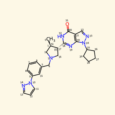 C[C@@H]1CN(Cc2cccc(-n3cccn3)c2)C[C@H]1c1nc2c(cnn2C2CCCC2)c(=O)[nH]1